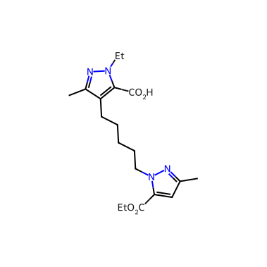 CCOC(=O)c1cc(C)nn1CCCCCc1c(C)nn(CC)c1C(=O)O